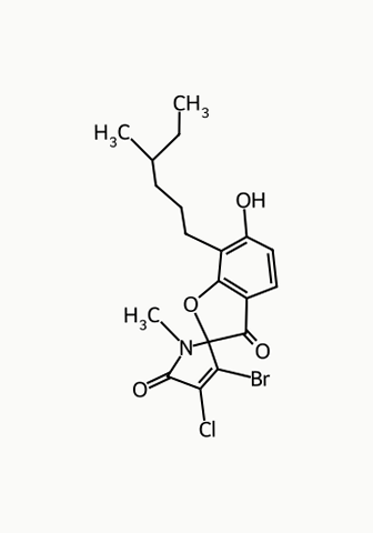 CCC(C)CCCc1c(O)ccc2c1OC1(C2=O)C(Br)=C(Cl)C(=O)N1C